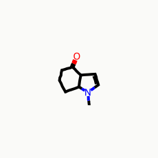 CN1C=CC2C(=O)CCCC21